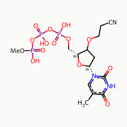 COP(=O)(O)OP(=O)(O)OP(=O)(O)OC[C@H]1O[C@@H](n2cc(C)c(=O)[nH]c2=O)CC1OCCC#N